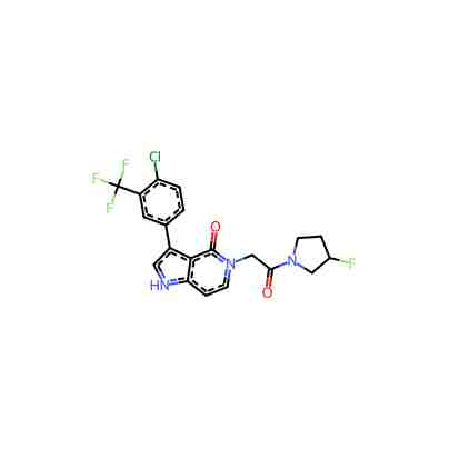 O=C(Cn1ccc2[nH]cc(-c3ccc(Cl)c(C(F)(F)F)c3)c2c1=O)N1CCC(F)C1